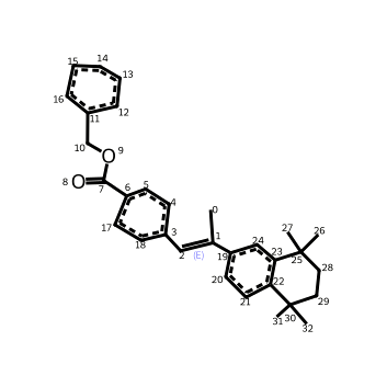 C/C(=C\c1ccc(C(=O)OCc2ccccc2)cc1)c1ccc2c(c1)C(C)(C)CCC2(C)C